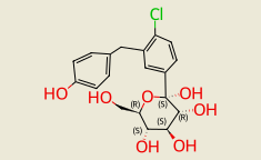 OC[C@H]1O[C@@](O)(c2ccc(Cl)c(Cc3ccc(O)cc3)c2)[C@H](O)[C@@H](O)[C@@H]1O